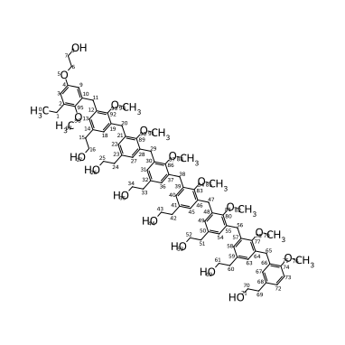 CCc1cc(OCCO)cc(Cc2cc(CCO)cc(Cc3cc(CCO)cc(Cc4cc(CCO)cc(Cc5cc(CCO)cc(Cc6cc(CCO)cc(Cc7cc(CCO)cc(Cc8cc(CCO)ccc8OC)c7OC)c6OC)c5OC)c4OC)c3OC)c2OC)c1OC